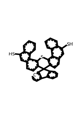 Sc1cc2ccc3c(c2c2ccccc12)Sc1c(ccc2cc(S)c4ccccc4c12)C31c2ccccc2-c2ccccc21